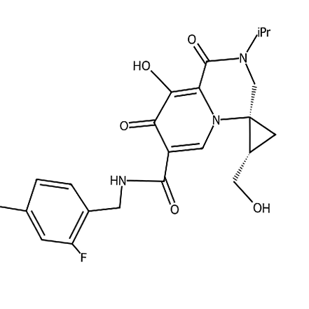 CC(C)N1C[C@@]2(C[C@@H]2CO)n2cc(C(=O)NCc3ccc(F)cc3F)c(=O)c(O)c2C1=O